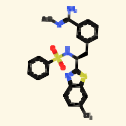 CC(=O)ON=C(N)c1cccc(C[C@H](NS(=O)(=O)c2ccccc2)c2nc3ccc(C(F)(F)F)cc3s2)c1